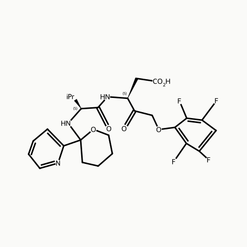 CC(C)[C@H](NC1(c2ccccn2)CCCCO1)C(=O)N[C@@H](CC(=O)O)C(=O)COc1c(F)c(F)cc(F)c1F